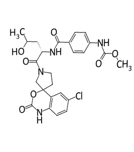 COC(=O)Nc1ccc(C(=O)N[C@@H](CC(C)O)C(=O)N2CCC3(C2)OC(=O)Nc2ccc(Cl)cc23)cc1